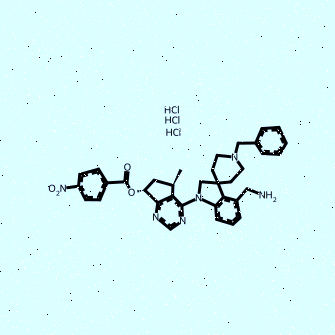 C[C@@H]1C[C@@H](OC(=O)c2ccc([N+](=O)[O-])cc2)c2ncnc(N3CC4(CCN(Cc5ccccc5)CC4)c4c(CN)cccc43)c21.Cl.Cl.Cl